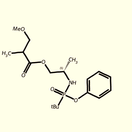 COCC(C)C(=O)OC[C@H](C)NP(=O)(Oc1ccccc1)C(C)(C)C